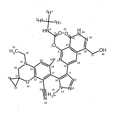 [2H]C([2H])([2H])NC(=O)Oc1nc(-c2cnn(C)c2-c2c(F)cc3c(c2C#N)OC2(CC2)CN3CC)cc2c(CO)n[nH]c(=O)c12